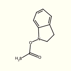 BC(=O)ON1CCc2ccccc21